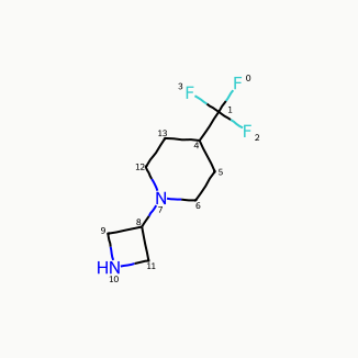 FC(F)(F)C1CCN(C2CNC2)CC1